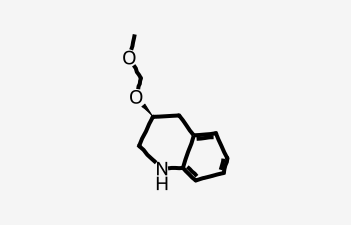 COCO[C@@H]1CNc2ccccc2C1